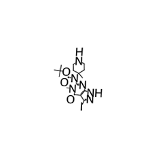 Cn1c(N(C(=O)OC(C)(C)C)C2(C)CCNCC2)nc2[nH]nc(I)c2c1=O